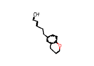 [CH]=CC=CCCc1ccc2c(c1)CCCO2